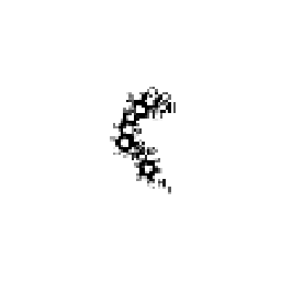 CC[C@@]1(O)C(=O)OCc2c1cc1n(c2=O)Cc2cc3cccc(OS(=O)(=O)c4ccc(C)cc4)c3nc2-1